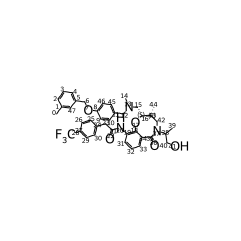 Cc1cccc(COc2ccc(CN(C)C[C@H]3Oc4c(NC(=O)Cc5ccc(C(F)(F)F)cc5)cccc4C(=O)N(C(C)CO)C[C@H]3C)cc2)c1